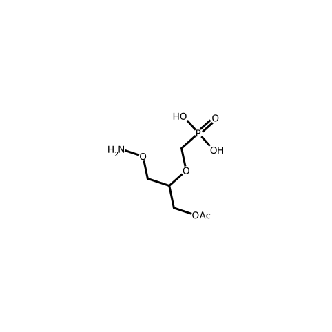 CC(=O)OCC(CON)OCP(=O)(O)O